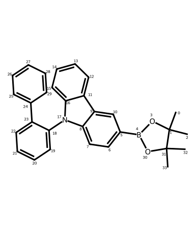 CC1(C)OB(c2ccc3c(c2)c2ccccc2n3-c2ccccc2-c2ccccc2)OC1(C)C